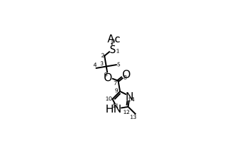 CC(=O)SCC(C)(C)OC(=O)c1c[nH]c(C)n1